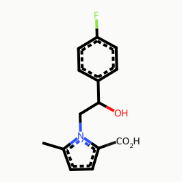 Cc1ccc(C(=O)O)n1CC(O)c1ccc(F)cc1